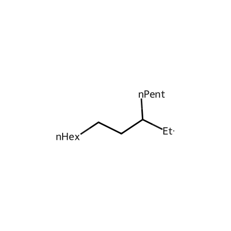 C[CH]C(CCCCC)CCCCCCCC